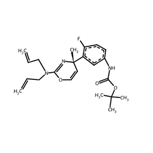 C=CCN(CC=C)C1=N[C@](C)(c2cc(NC(=O)OC(C)(C)C)ccc2F)C=CO1